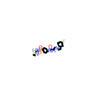 O=C(CCn1ccc2cc(F)ccc21)Nc1ccc(S(=O)(=O)Nc2nccs2)cc1